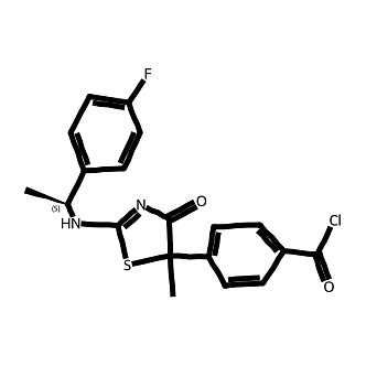 C[C@H](NC1=NC(=O)C(C)(c2ccc(C(=O)Cl)cc2)S1)c1ccc(F)cc1